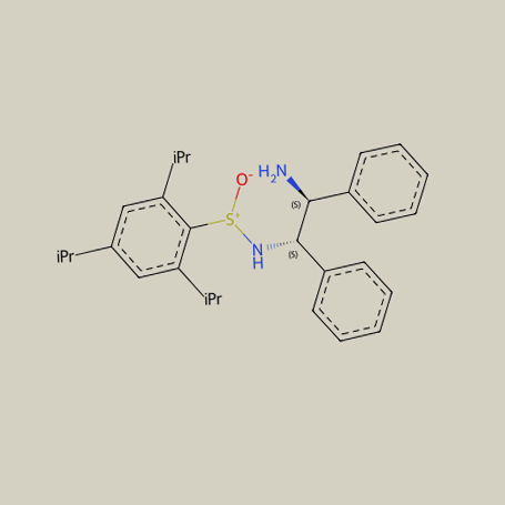 CC(C)c1cc(C(C)C)c([S+]([O-])N[C@@H](c2ccccc2)[C@@H](N)c2ccccc2)c(C(C)C)c1